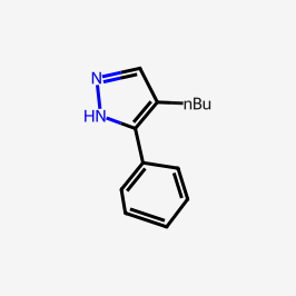 CCCCc1cn[nH]c1-c1ccccc1